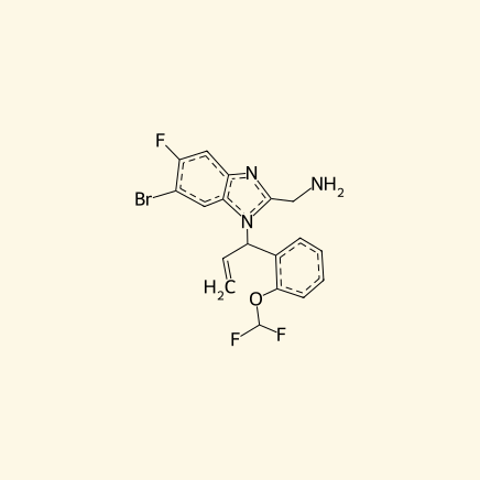 C=CC(c1ccccc1OC(F)F)n1c(CN)nc2cc(F)c(Br)cc21